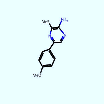 COc1ccc(-c2cnc(N)c(SC)n2)cc1